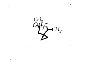 COCCC1(C(C)C)CC1